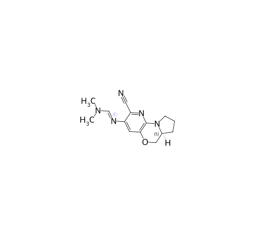 CN(C)/C=N/c1cc2c(nc1C#N)N1CCC[C@H]1CO2